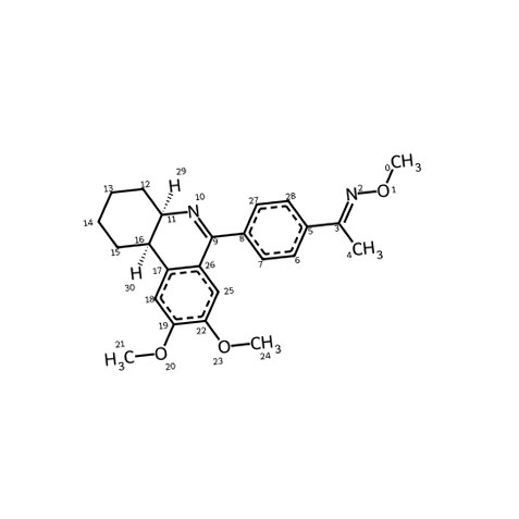 CO/N=C(\C)c1ccc(C2=N[C@@H]3CCCC[C@@H]3c3cc(OC)c(OC)cc32)cc1